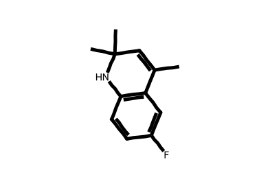 CC1=CC(C)(C)Nc2ccc(F)cc21